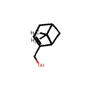 CC1(C)C2CC=C(CO)C1C2